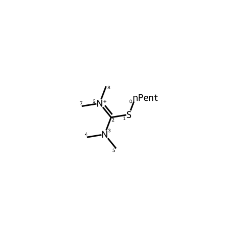 CCCCCSC(N(C)C)=[N+](C)C